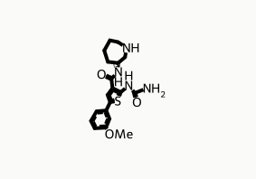 COc1cccc(-c2cc(C(=O)N[C@H]3CCCCNC3)c(NC(N)=O)s2)c1